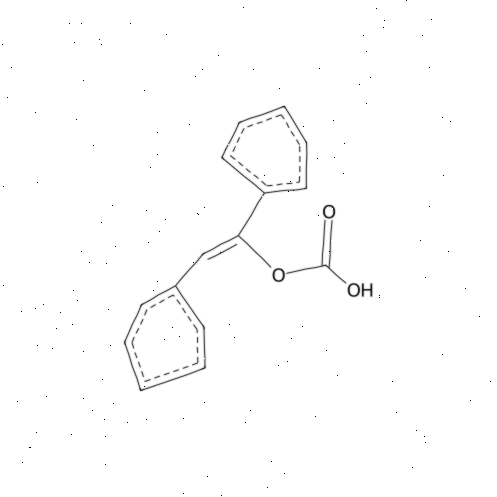 O=C(O)OC(=Cc1ccccc1)c1ccccc1